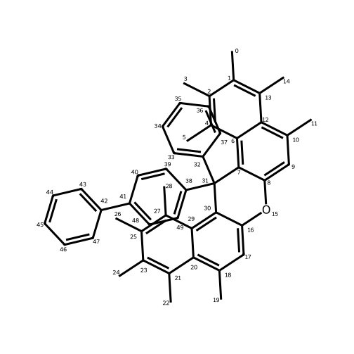 Cc1c(C)c(C)c2c3c(cc(C)c2c1C)Oc1cc(C)c2c(C)c(C)c(C)c(C)c2c1C3(c1ccccc1)c1ccc(-c2ccccc2)cc1